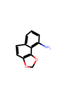 Nc1cccc2ccc3c(c12)OCO3